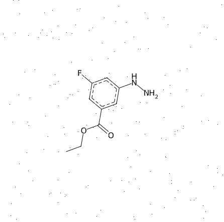 CCOC(=O)c1cc(F)cc(NN)c1